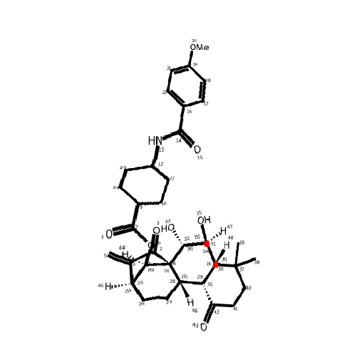 C=C1C(=O)[C@]23[C@H](OC(=O)C4CCC(NC(=O)c5ccc(OC)cc5)CC4)[C@H]1CC[C@H]2[C@@]12CO[C@@]3(O)[C@@H](O)[C@@H]1C(C)(C)CCC2=O